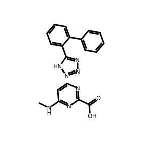 CNc1ccnc(C(=O)O)n1.c1ccc(-c2ccccc2-c2nnn[nH]2)cc1